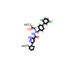 COc1ccccc1-c1cc(C(=O)NN(Cc2ccc(-c3cc(Cl)ccc3F)cc2)CC(O)C(=O)O)[nH]n1